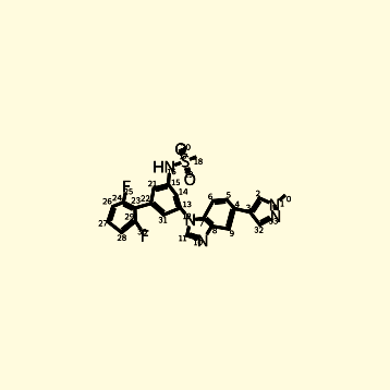 Cn1cc(-c2ccc3c(c2)ncn3-c2cc(NS(C)(=O)=O)cc(-c3c(F)cccc3F)c2)cn1